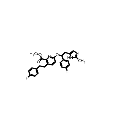 COC(=O)c1nc(OC(Cc2cnc(C)[nH]2)c2ccc(F)cc2)ccc1CCc1ccc(F)cc1